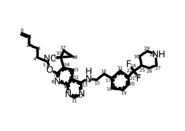 C=CCCCCOc1nc2ncnc(NCCc3cccc(C(F)(F)C4CCNCC4)c3)c2cc1C1(C#N)CC1